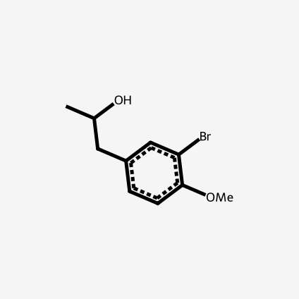 COc1ccc(CC(C)O)cc1Br